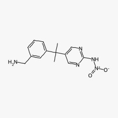 CC(C)(c1cnc(N[N+](=O)[O-])nc1)c1cccc(CN)c1